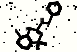 O=S1(=O)N=C(NCc2ccccn2)Nc2c(I)cccc21